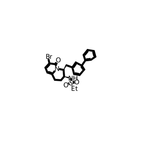 CCS(=O)(=O)N[C@H]1CCc2ccc(Br)c(=O)n2[C@H]1Cc1cccc(-c2ccccc2)c1